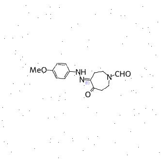 COc1ccc(N/N=C2\CCN(C=O)CCC2=O)cc1